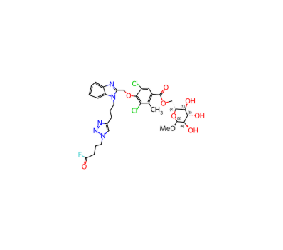 CO[C@H]1O[C@H](COC(=O)c2cc(Cl)c(OCc3nc4ccccc4n3CCCc3cn(CCCC(=O)F)nn3)c(Cl)c2C)[C@@H](O)[C@H](O)[C@H]1O